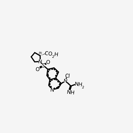 N=C(N)N(Cl)c1cncc2cc(S(=O)(=O)N3CCC[C@@H]3C(=O)O)ccc12